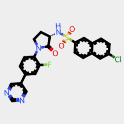 O=C1[C@@H](NS(=O)(=O)c2ccc3cc(Cl)ccc3c2)CCN1c1ccc(-c2cncnc2)cc1F